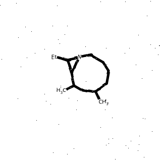 CCC1C2C(C)CC(C)CCCCN12